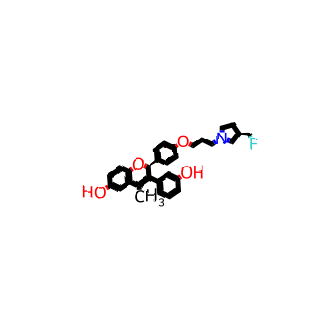 CC1=C(c2cccc(O)c2)[C@H](c2ccc(OCCCN3CC[C@@H](CF)C3)cc2)Oc2ccc(O)cc21